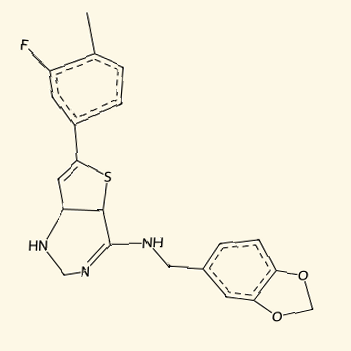 Cc1ccc(C2=CC3NCN=C(NCc4ccc5c(c4)OCO5)C3S2)cc1F